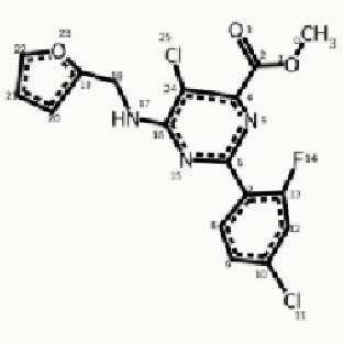 COC(=O)c1nc(-c2ccc(Cl)cc2F)nc(NCc2ccco2)c1Cl